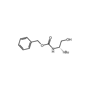 CCCC[C@@H](CO)NC(=O)OCc1ccccc1